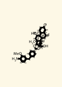 COc1cc(Cc2ccc([C@H]3O[C@@H]4C[C@H]5[C@@H]6C[C@H](F)C7=CC(=O)C=C[C@]7(C)[C@@]6(F)[C@@H](O)C[C@]5(C)[C@]4(C(=O)CO)O3)cc2)c#cc1N